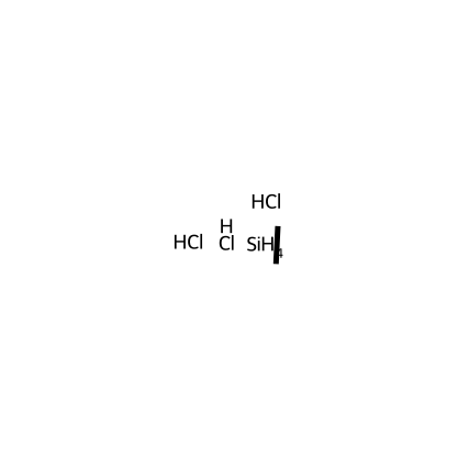 CC.Cl.Cl.Cl.[SiH4]